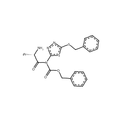 CC(C)[C@H](N)C(=O)N(C(=O)OCc1ccccc1)c1nnc(SCc2ccccc2)s1